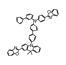 CC1(C)c2ccccc2N(c2ccc(-c3ccc(N(c4ccc(-c5nc6ccccc6o5)cc4)c4cccc(-c5ccccc5)c4)cc3)cc2)c2ccc(-c3nc4ccccc4o3)cc21